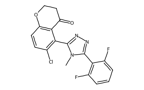 Cn1c(-c2c(F)cccc2F)nnc1-c1c(Cl)ccc2c1C(=O)CCO2